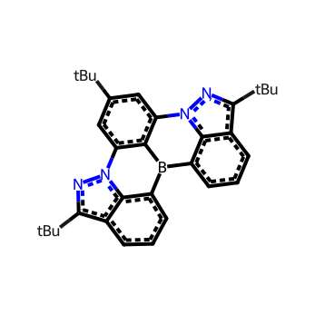 CC(C)(C)c1cc2c3c(c1)-n1nc(C(C)(C)C)c4cccc(c41)B3c1cccc3c(C(C)(C)C)nn-2c13